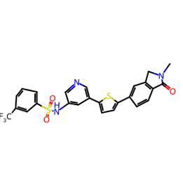 CN1Cc2cc(-c3ccc(-c4cncc(NS(=O)(=O)c5cccc(C(F)(F)F)c5)c4)s3)ccc2C1=O